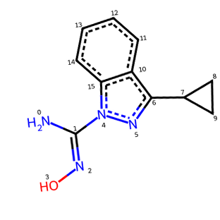 N/C(=N\O)n1nc(C2CC2)c2ccccc21